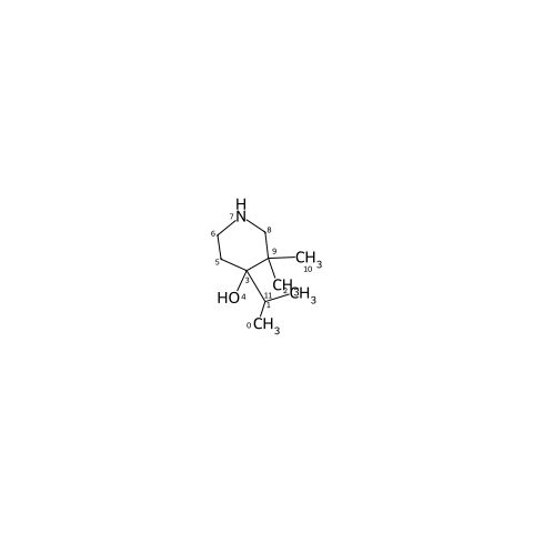 CC(C)C1(O)CCNCC1(C)C